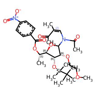 COCCO[C@H]1C(N(/C=C(/C)C(C)=O)C(C)=O)O[C@H]([C@H](C)OC(=O)c2ccc([N+](=O)[O-])cc2)[C@H]1O[Si](C)(C)C(C)(C)C